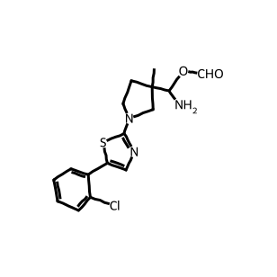 CC1(C(N)OC=O)CCN(c2ncc(-c3ccccc3Cl)s2)C1